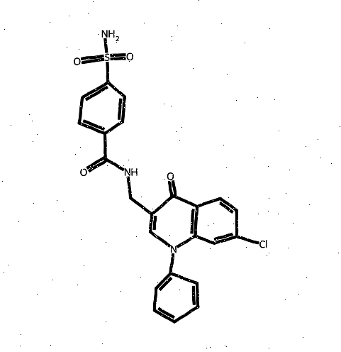 NS(=O)(=O)c1ccc(C(=O)NCc2cn(-c3ccccc3)c3cc(Cl)ccc3c2=O)cc1